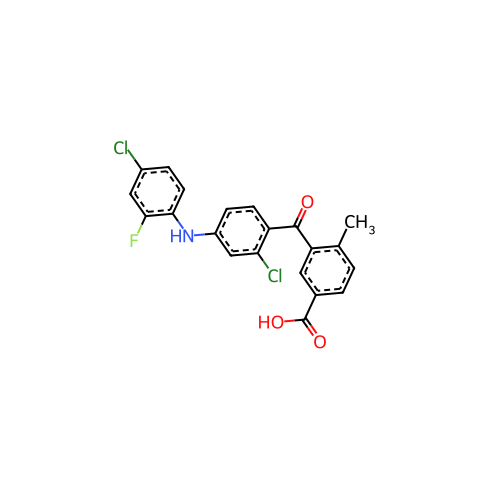 Cc1ccc(C(=O)O)cc1C(=O)c1ccc(Nc2ccc(Cl)cc2F)cc1Cl